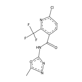 Cc1nnc(NC(=O)c2ccc(Cl)nc2C(F)(F)F)o1